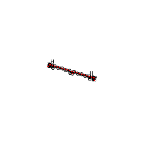 O=C(CC(=O)OCCOCCOCCOCCOC(=O)NC12CC3CC(CC(C3)C1)C2)OCCOCCOCCOCCOC(=O)NC12CC3CC(CC(C3)C1)C2